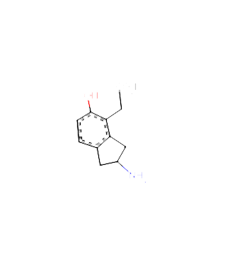 CCOC(=O)Cc1c(O)ccc2c1CC(N)C2